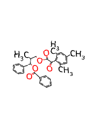 Cc1cc(C)c(C(=O)C(=O)OCC(C)C(OC(=O)c2ccccc2)c2ccccc2)c(C)c1